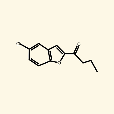 CCCC(=O)c1cc2cc(Cl)ccc2o1